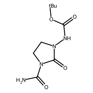 CC(C)(C)OC(=O)NN1CCN(C(N)=O)C1=O